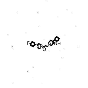 O=C(CCN1CCc2c([nH]c3ccccc23)C1)N1CCN(c2ccc(F)cc2)CC1